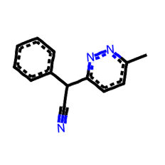 Cc1ccc(C(C#N)c2ccccc2)nn1